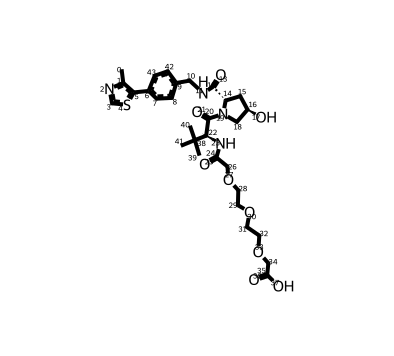 Cc1ncsc1-c1ccc(CNC(=O)[C@@H]2C[C@@H](O)CN2C(=O)[C@@H](NC(=O)COCCOCCOCC(=O)O)C(C)(C)C)cc1